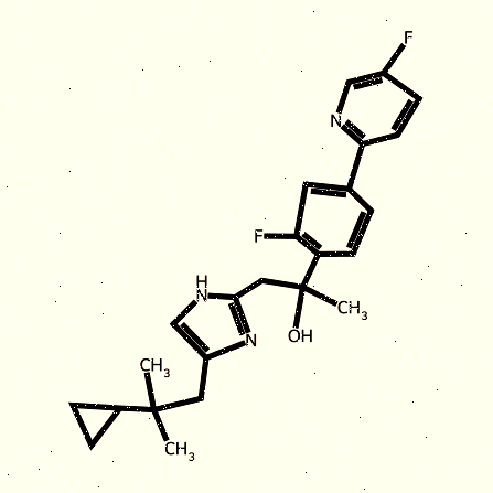 CC(O)(Cc1nc(CC(C)(C)C2CC2)c[nH]1)c1ccc(-c2ccc(F)cn2)cc1F